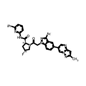 CC(=O)c1nn(CC(=O)N2C[C@H](F)C[C@H]2C(=O)Nc2cccc(C(C)C)n2)c2ccc(-c3cnc4cc(C)nn4c3)cc12